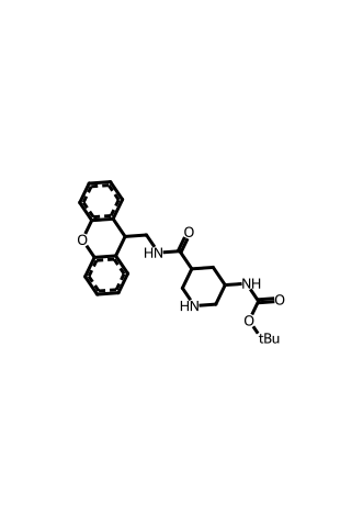 CC(C)(C)OC(=O)NC1CNCC(C(=O)NCC2c3ccccc3Oc3ccccc32)C1